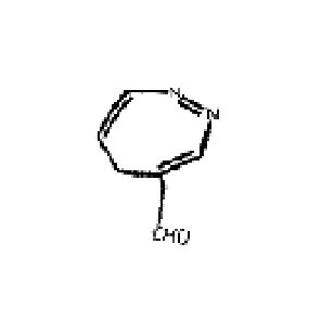 O=CC1=CN=NC=CC1